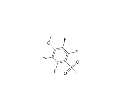 COc1c(F)c(F)c(S(C)(=O)=O)c(F)c1F